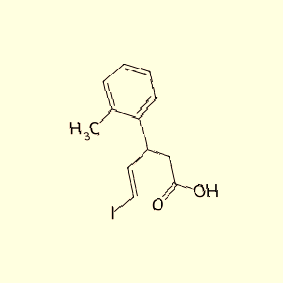 Cc1ccccc1C(C=CI)CC(=O)O